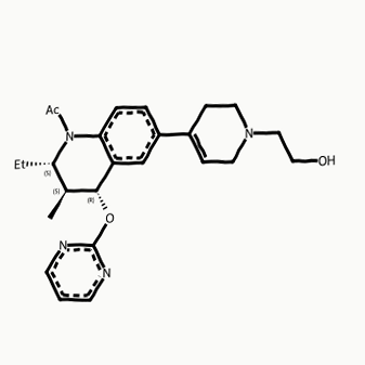 CC[C@H]1[C@H](C)[C@@H](Oc2ncccn2)c2cc(C3=CCN(CCO)CC3)ccc2N1C(C)=O